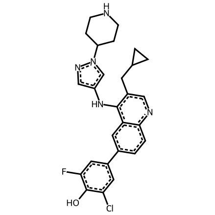 Oc1c(F)cc(-c2ccc3ncc(CC4CC4)c(Nc4cnn(C5CCNCC5)c4)c3c2)cc1Cl